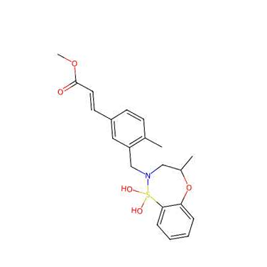 COC(=O)C=Cc1ccc(C)c(CN2CC(C)Oc3ccccc3S2(O)O)c1